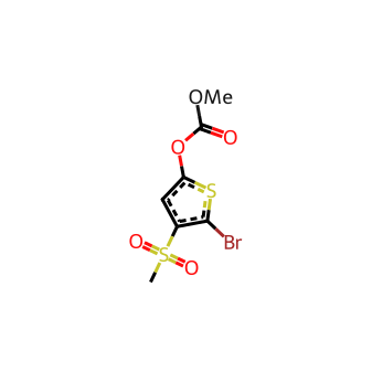 COC(=O)Oc1cc(S(C)(=O)=O)c(Br)s1